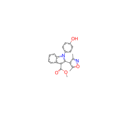 COC(=O)c1c(-c2c(C)noc2C)n(-c2ccc(O)cc2)c2ccccc12